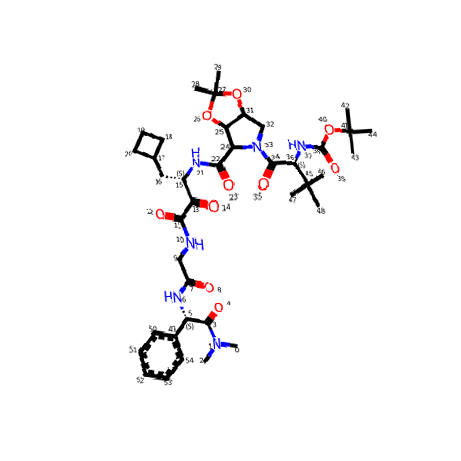 CN(C)C(=O)[C@@H](NC(=O)CNC(=O)C(=O)[C@H](CC1CCC1)NC(=O)C1C2OC(C)(C)OC2CN1C(=O)[C@@H](NC(=O)OC(C)(C)C)C(C)(C)C)c1ccccc1